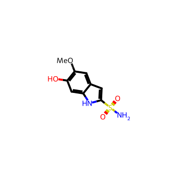 COc1cc2cc(S(N)(=O)=O)[nH]c2cc1O